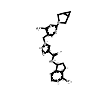 Cc1nc(N2CC3CC3C2)ncc1Cn1cc(C(=O)NC2CCc3c2ccnc3N)nn1